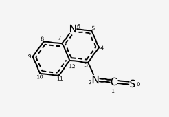 S=C=Nc1ccnc2ccccc12